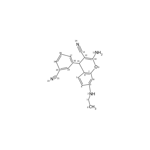 CCNc1ccc2c(c1)OC(N)=C(C#N)C2c1cccc(C#N)c1